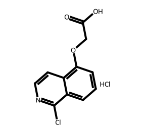 Cl.O=C(O)COc1cccc2c(Cl)nccc12